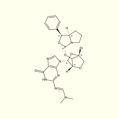 CC[C@@]12CO[C@@H](C1O[P@]1O[C@@H](c3ccccc3)[C@H]3CCCN31)[C@H](n1cnc3c(=O)[nH]c(/N=C/N(C)C)nc31)O2